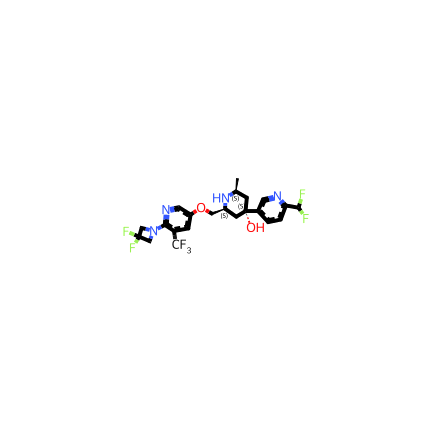 C[C@H]1C[C@@](O)(c2ccc(C(F)F)nc2)C[C@@H](COc2cnc(N3CC(F)(F)C3)c(C(F)(F)F)c2)N1